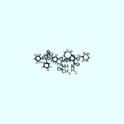 CC(=O)N[C@@H](Cc1ccc(OP(=O)(OCc2ccccc2)OCc2ccccc2)cc1)C(=O)N[C@@H]1CCCCc2cc(OCC3CCCCC3)c(C(N)=O)cc21